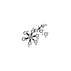 C[CH2][Al+2].[Cl-].[Cl-].[Cl][W]([Cl])([Cl])([Cl])([Cl])[Cl]